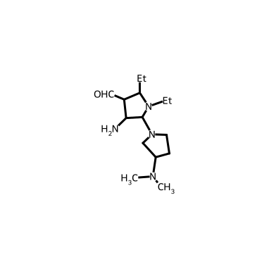 CCC1C(C=O)C(N)C(N2CCC(N(C)C)C2)N1CC